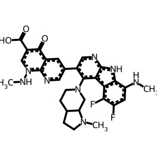 CNc1cc(F)c(F)c2c1[nH]c1ncc(-c3cnc4c(c3)c(=O)c(C(=O)O)cn4NC)c(N3CCC4CCN(C)C4C3)c12